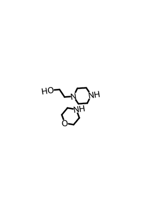 C1COCCN1.OCCN1CCNCC1